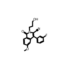 COc1ccc2c(=O)n(CCCO)c(C#N)c(-c3cccc(F)c3)c2c1